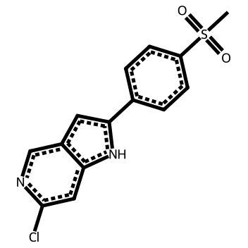 CS(=O)(=O)c1ccc(-c2cc3cnc(Cl)cc3[nH]2)cc1